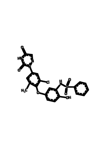 Cc1cc(-n2ncc(=O)[nH]c2=O)cc(Cl)c1Oc1ccc(O)c(NS(=O)(=O)c2ccccc2)c1